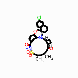 C[C@H]1CC(=O)[C@@H]2CC[C@H]2CN2C[C@@]3(CCCc4cc(Cl)ccc43)COc3ccc(cc32)C(=O)NS(=O)(=O)C[C@@H](C)C1